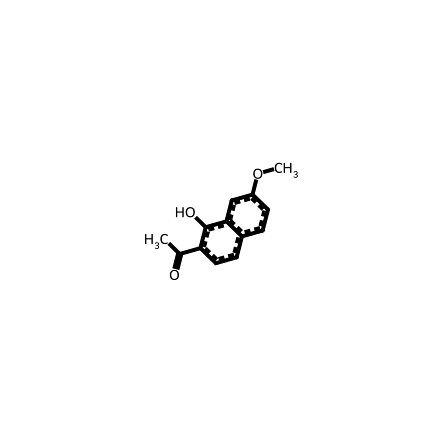 COc1ccc2ccc(C(C)=O)c(O)c2c1